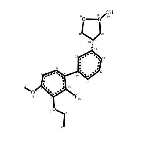 CCOc1c(OC)ccc(-c2cccc([C@@H]3COB(O)C3)c2)c1F